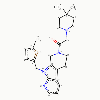 CC1(C(=O)O)CCN(CC(=O)N2CCc3c(n(Cc4ccc(C(F)(F)F)s4)c4ncccc34)C2)CC1